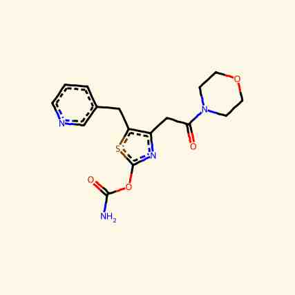 NC(=O)Oc1nc(CC(=O)N2CCOCC2)c(Cc2cccnc2)s1